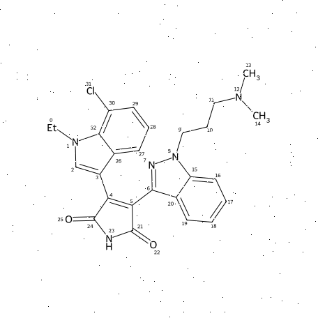 CCn1cc(C2=C(c3nn(CCCN(C)C)c4ccccc34)C(=O)NC2=O)c2cccc(Cl)c21